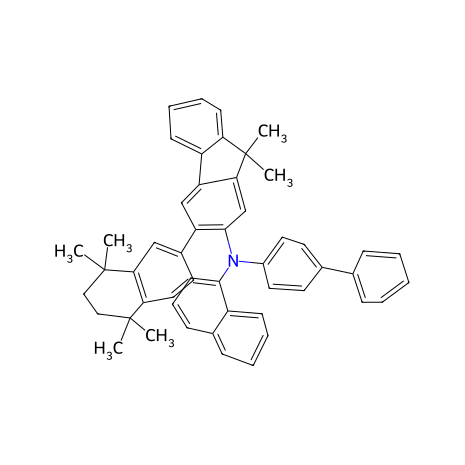 CC1(C)CCC(C)(C)c2cc(-c3cc4c(cc3N(c3ccc(-c5ccccc5)cc3)c3cccc5ccccc35)C(C)(C)c3ccccc3-4)ccc21